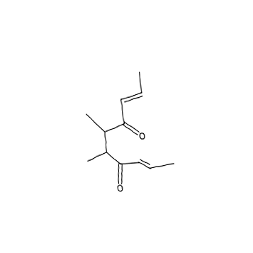 C/C=C/C(=O)C(C)C(C)C(=O)/C=C/C